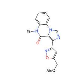 CCn1c(=O)c2c(-c3cc(COC)on3)ncn2c2ccccc21